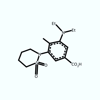 CCN(CC)c1cc(C(=O)O)cc(N2CCCCS2(=O)=O)c1C